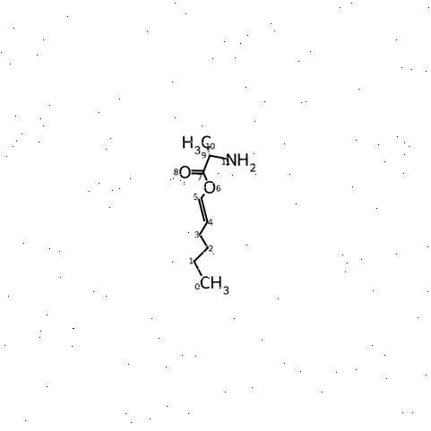 CCCCC=COC(=O)[C@H](C)N